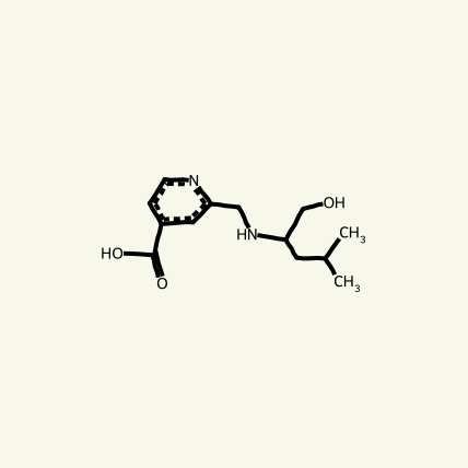 CC(C)CC(CO)NCc1cc(C(=O)O)ccn1